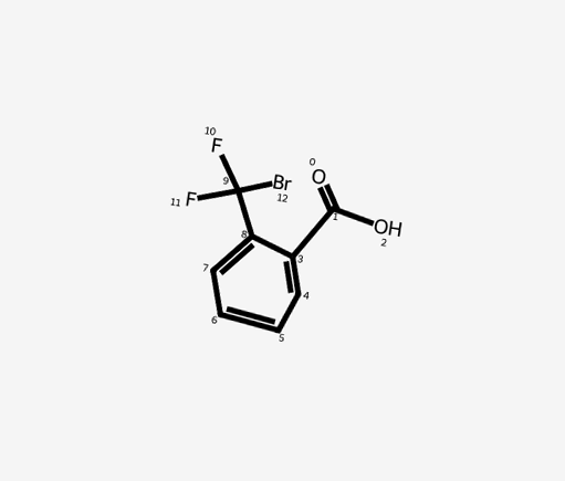 O=C(O)c1ccccc1C(F)(F)Br